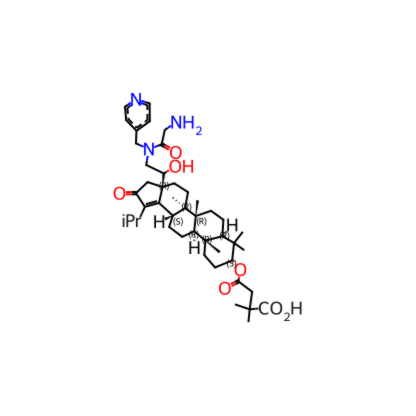 CC(C)C1=C2[C@H]3CC[C@@H]4[C@@]5(C)CC[C@H](OC(=O)CC(C)(C)C(=O)O)C(C)(C)[C@@H]5CC[C@@]4(C)[C@]3(C)CC[C@@]2(C(O)CN(Cc2ccncc2)C(=O)CN)CC1=O